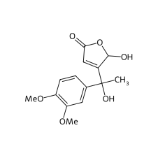 COc1ccc(C(C)(O)C2=CC(=O)OC2O)cc1OC